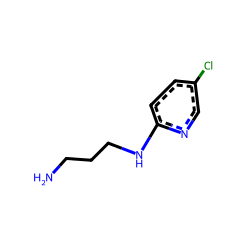 NCCCNc1ccc(Cl)cn1